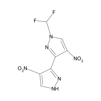 O=[N+]([O-])c1c[nH]nc1-c1nn(C(F)F)cc1[N+](=O)[O-]